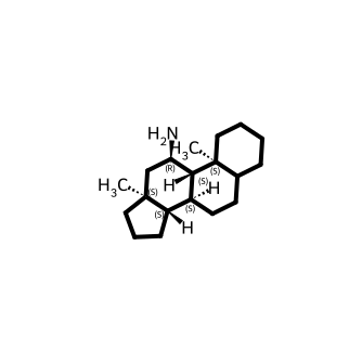 C[C@@]12CCC[C@H]1[C@@H]1CCC3CCCC[C@]3(C)[C@H]1[C@H](N)C2